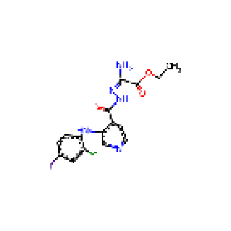 CCOC(=O)/C(N)=N\NC(=O)c1ccncc1Nc1ccc(I)cc1F